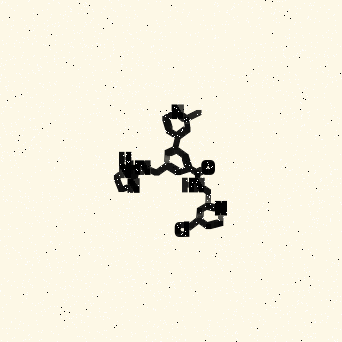 Cc1cc(-c2cc(CNC3=NCCN3)cc(C(=O)NCc3cc(Cl)ccn3)c2)ccn1